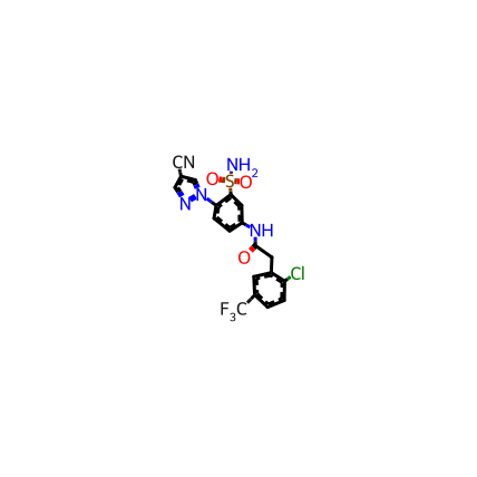 N#Cc1cnn(-c2ccc(NC(=O)Cc3cc(C(F)(F)F)ccc3Cl)cc2S(N)(=O)=O)c1